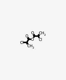 C=C(Cl)C(=O)OC(=O)C(=C)Cl